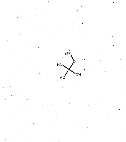 CCCOC(O)(O)O